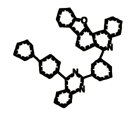 c1ccc(-c2ccc(-c3nc(-c4cccc(-c5nc6ccccc6c6c5ccc5c7ccccc7oc56)c4)nc4ccccc34)cc2)cc1